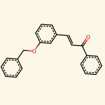 O=C(C=Cc1cccc(OCc2ccccc2)c1)c1ccccc1